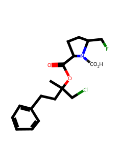 CC(CCl)(CCc1ccccc1)OC(=O)C1CCC(CF)N1C(=O)O